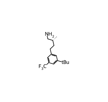 C[C@@H](CN)CCc1cc(C(C)(C)C)cc(C(F)(F)F)c1